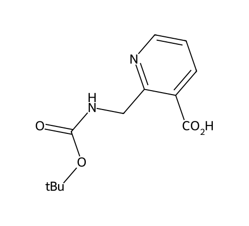 CC(C)(C)OC(=O)NCc1ncccc1C(=O)O